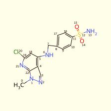 Cn1ncc2c(NCc3ccc(S(N)(=O)=O)cc3)cc(Cl)nc21